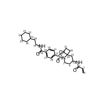 C=CC(=O)NC1CCN(S(=O)(=O)c2ccc(C(=O)NCCC3CCCCC3)cc2)C2(CCC2)C1